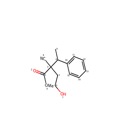 COC(=O)C(C#N)(CCO)C(C)c1ccccc1